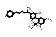 CC1CCC2=C(C1)c1c(O)cc(C(C)CCCCc3ccc(F)cc3)cc1OC2(C)C